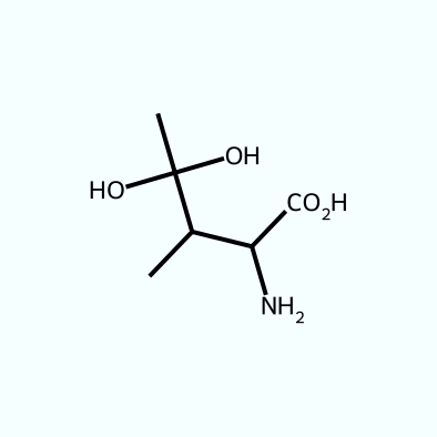 CC(C(N)C(=O)O)C(C)(O)O